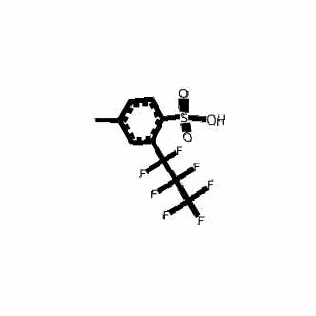 Cc1ccc(S(=O)(=O)O)c(C(F)(F)C(F)(F)C(F)(F)F)c1